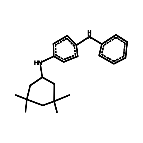 CC1(C)CC(Nc2ccc(Nc3ccccc3)cc2)CC(C)(C)C1